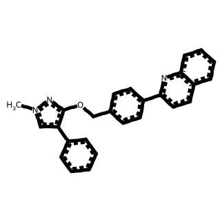 Cn1cc(-c2ccccc2)c(OCc2ccc(-c3ccc4ccccc4n3)cc2)n1